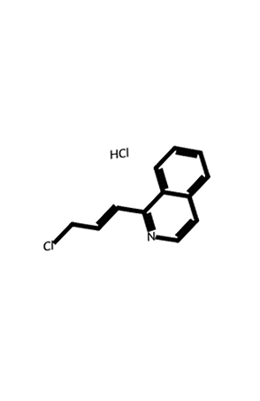 Cl.ClCC=Cc1nccc2ccccc12